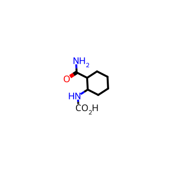 NC(=O)C1CCCCC1NC(=O)O